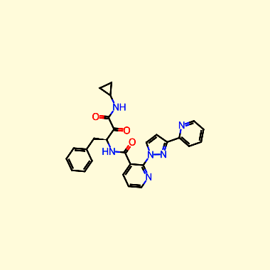 O=C(NC1CC1)C(=O)[C@H](Cc1ccccc1)NC(=O)c1cccnc1-n1ccc(-c2ccccn2)n1